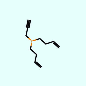 C#CCP(CCC=C)CCC=C